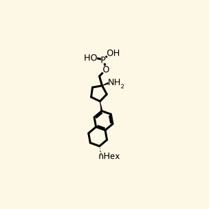 CCCCCC[C@@H]1CCc2cc([C@H]3CC[C@](N)(COP(O)O)C3)ccc2C1